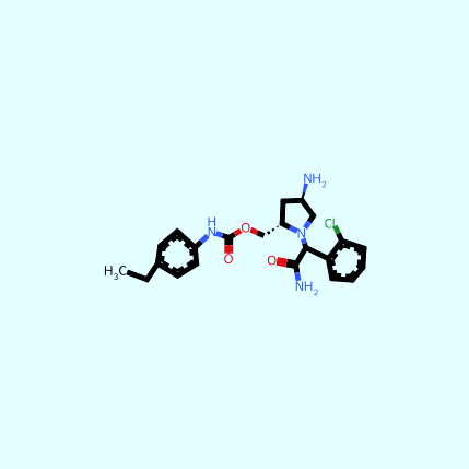 CCc1ccc(NC(=O)OC[C@@H]2C[C@@H](N)CN2C(C(N)=O)c2ccccc2Cl)cc1